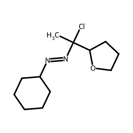 CC(Cl)(N=NC1CCCCC1)C1CCCO1